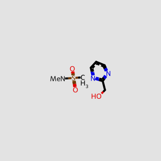 CNS(C)(=O)=O.OCc1ncccn1